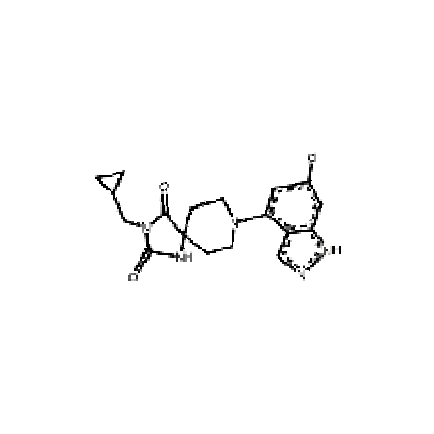 O=C1NC2(CCN(c3cc(Cl)cc4[nH]ncc34)CC2)C(=O)N1CC1CC1